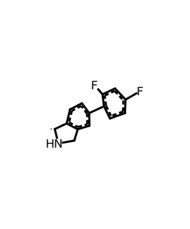 Fc1ccc(-c2ccc3c(c2)CN[CH]3)c(F)c1